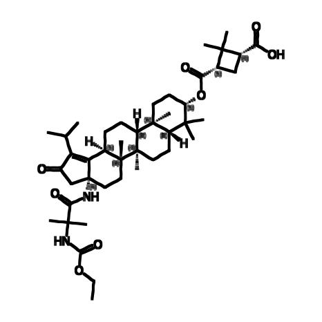 CCOC(=O)NC(C)(C)C(=O)N[C@@]12CC[C@]3(C)[C@H](CC[C@@H]4[C@@]5(C)CC[C@H](OC(=O)[C@H]6C[C@@H](C(=O)O)C6(C)C)C(C)(C)[C@@H]5CC[C@]43C)C1=C(C(C)C)C(=O)C2